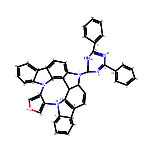 C1=CC2C3c4c(ccc5c6ccccc6n(c45)-c4cocc4-n4c3c1c1ccccc14)N2C1N=C(c2ccccc2)N=C(c2ccccc2)N1